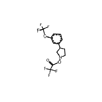 O=C(ON1CCC(c2cccc(OC(F)(F)F)c2)C1)C(F)(F)F